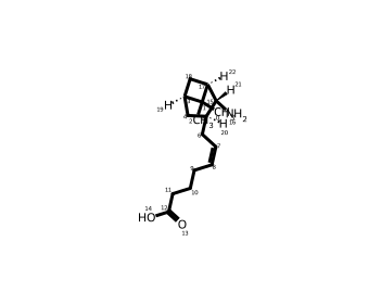 CC1(C)[C@H]2C[C@H](C/C=C\CCCC(=O)O)[C@@H](N)[C@@H]1C2